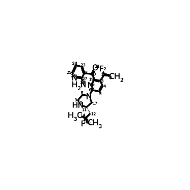 C=C(F)c1ccc(N2CCN[C@@H](CC(C)(C)F)C2)nc1C(=O)c1cccnc1N